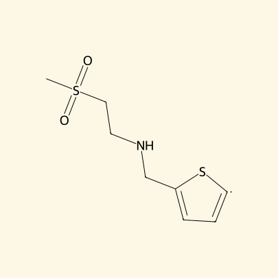 CS(=O)(=O)CCNCc1cc[c]s1